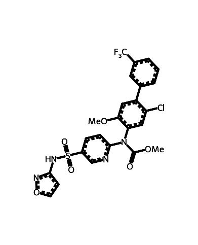 COC(=O)N(c1ccc(S(=O)(=O)Nc2ccon2)cn1)c1cc(Cl)c(-c2cccc(C(F)(F)F)c2)cc1OC